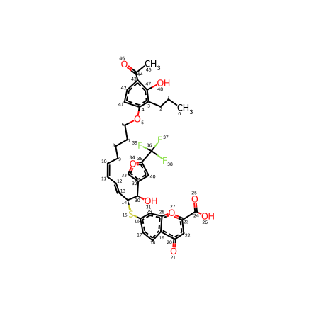 CCCc1c(OCCCC/C=C\C=C\[C@H](Sc2ccc3c(=O)cc(C(=O)O)oc3c2)[C@H](O)c2coc(C(F)(F)F)c2)ccc(C(C)=O)c1O